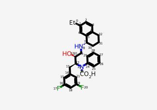 CCc1ccc2c(c1)[C@@H](NC[C@H](O)[C@H](Cc1cc(F)cc(F)c1)N(C(=O)O)c1ccccc1)CCC2